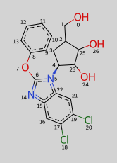 OCC1C[C@H](n2c(Oc3ccccc3)nc3cc(Cl)c(Cl)cc32)C(O)C1O